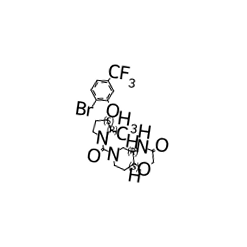 C[C@@H]1[C@@H](Oc2cc(C(F)(F)F)ccc2Br)CCN1C(=O)N1CC[C@@H]2OCC(=O)N[C@@H]2C1